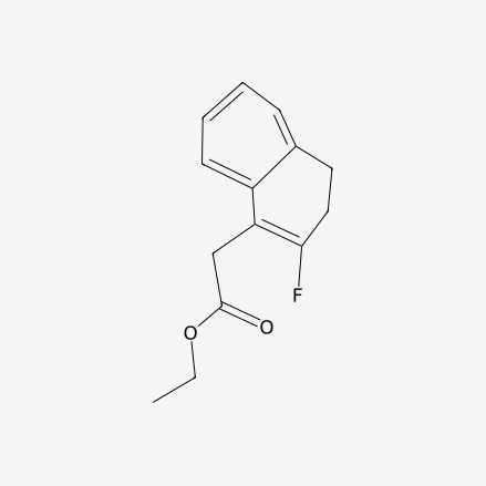 CCOC(=O)CC1=C(F)CCc2ccccc21